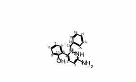 NC1=CC=C(c2ccccc2O)N(Cc2ccccc2)N1